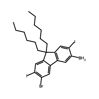 Bc1cc2c(cc1I)C(CCCCCC)(CCCCCC)c1cc(I)c(Br)cc1-2